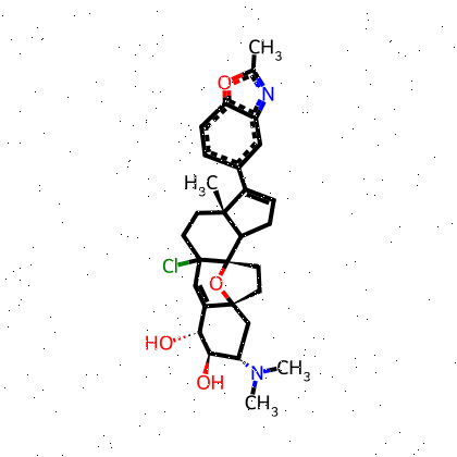 Cc1nc2cc(C3=CCC4[C@@]56CC[C@]7(C[C@H](N(C)C)[C@@H](O)[C@H](O)C7=CC5(Cl)CC[C@]34C)O6)ccc2o1